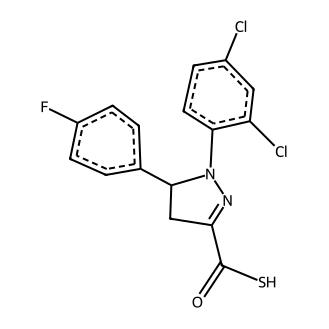 O=C(S)C1=NN(c2ccc(Cl)cc2Cl)C(c2ccc(F)cc2)C1